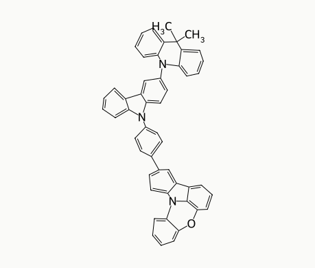 CC1(C)c2ccccc2N(c2ccc3c(c2)c2ccccc2n3-c2ccc(-c3ccc4c(c3)c3cccc5c3n4-c3ccccc3O5)cc2)c2ccccc21